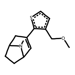 COCc1ccsc1C1=CC2CCC(C1)N2C